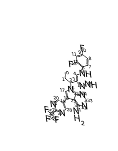 CCC(/C(=C/Nc1ccc(F)cc1F)N=N)n1cc(-c2cnc(C(F)(F)F)nc2)c2c(N)ncnc21